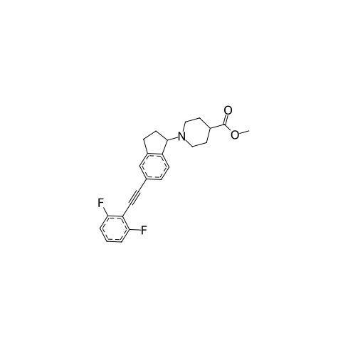 COC(=O)C1CCN(C2CCc3cc(C#Cc4c(F)cccc4F)ccc32)CC1